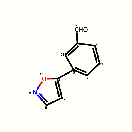 O=Cc1cccc(-c2ccno2)c1